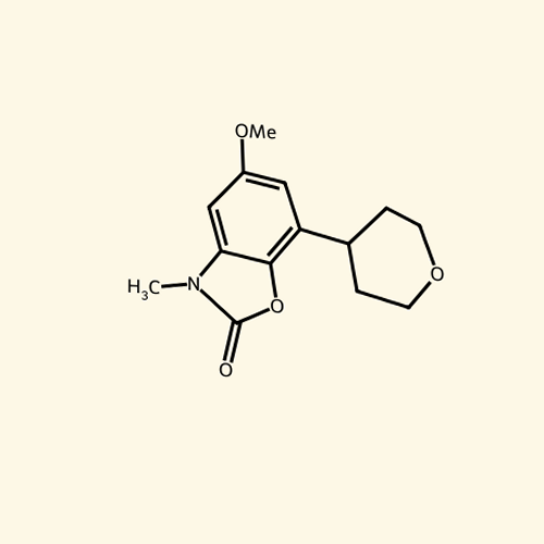 COc1cc(C2CCOCC2)c2oc(=O)n(C)c2c1